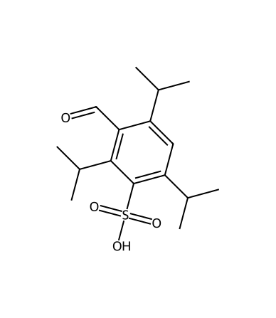 CC(C)c1cc(C(C)C)c(S(=O)(=O)O)c(C(C)C)c1C=O